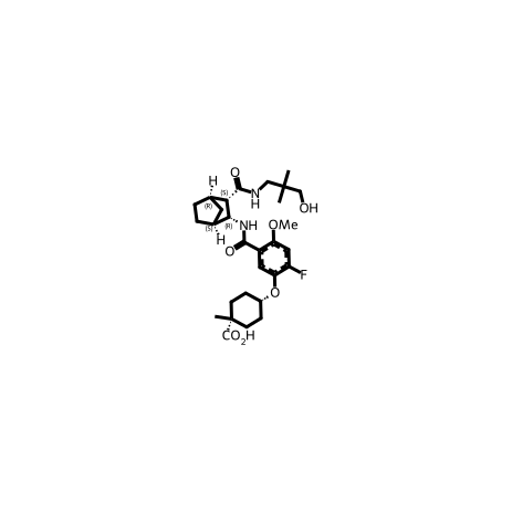 COc1cc(F)c(O[C@H]2CC[C@@](C)(C(=O)O)CC2)cc1C(=O)N[C@@H]1[C@H]2CC[C@H](C2)[C@@H]1C(=O)NCC(C)(C)CO